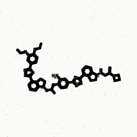 CCOc1ccc(-c2nc(-c3cccc4c3CC[C@H]4OC(C)Oc3ccc(-c4nc(-c5cccc6c5CC[C@H]6NCC(=O)N5CCC5)no4)cc3N)no2)cc1OCC